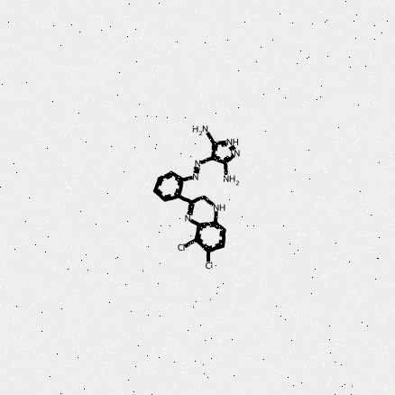 Nc1n[nH]c(N)c1N=Nc1ccccc1C1=Nc2c(ccc(Cl)c2Cl)NC1